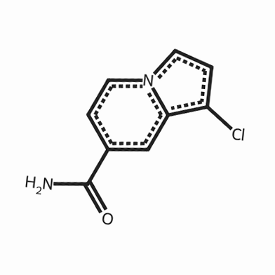 NC(=O)c1ccn2ccc(Cl)c2c1